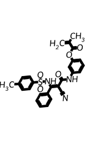 C=C(C)C(=O)Oc1cccc(NC(=O)C(C#N)=C(NS(=O)(=O)c2ccc(C)cc2)c2ccccc2)c1